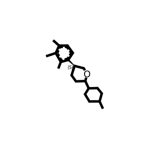 Cc1ccc([C@@H]2CCC(C3CCC(C)CC3)OC2)c(C)c1C